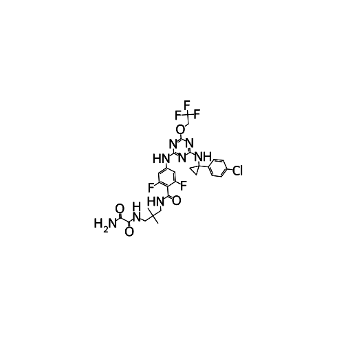 CC(C)(CNC(=O)C(N)=O)CNC(=O)c1c(F)cc(Nc2nc(NC3(c4ccc(Cl)cc4)CC3)nc(OCC(F)(F)F)n2)cc1F